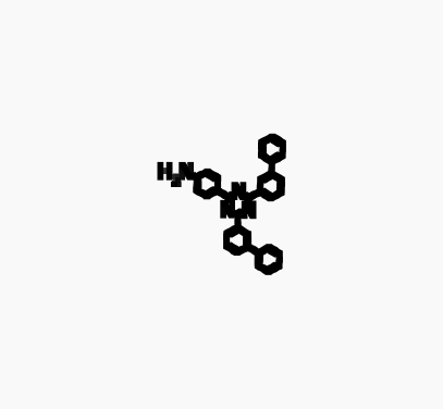 Nc1ccc(-c2nc(-c3cccc(-c4ccccc4)c3)nc(-c3cccc(-c4ccccc4)c3)n2)cc1